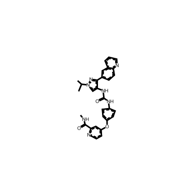 CNC(=O)c1cc(Oc2ccc(NC(=O)Nc3cn(C(C)C)nc3-c3ccc4ncccc4c3)cc2)ccn1